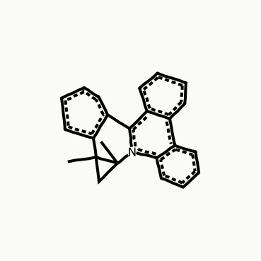 CC12CC1(C)[n+]1c(c3ccccc3c3ccccc31)-c1ccccc12